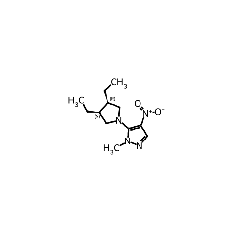 CC[C@@H]1CN(c2c([N+](=O)[O-])cnn2C)C[C@@H]1CC